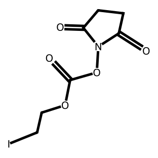 O=C(OCCI)ON1C(=O)CCC1=O